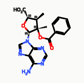 C[C@@H]1[C@@H](C(=O)O)O[C@@H](n2cnc3c(N)ncnc32)[C@]1(C)OC(=O)c1ccccc1